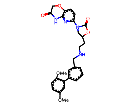 COc1ccc(OC)c(-c2cccc(CNCCC3CN(c4ccc5c(n4)NC(=O)CO5)C(=O)O3)c2)c1